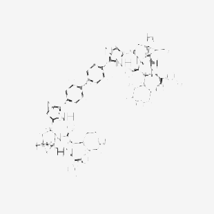 COC(=O)N[C@H](C(=O)N1[C@@H]2C[C@@H]2C[C@H]1c1cnc(-c2ccc(-c3ccc(-c4ncc([C@@H]5C[C@H]6C(C)[C@H]6N5C(=O)[C@@H](NC(=O)OC)C5CCOCC5)[nH]4)cc3)cc2)[nH]1)C1CCOCC1